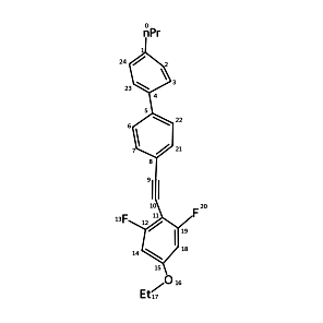 CCCc1ccc(-c2ccc(C#Cc3c(F)cc(OCC)cc3F)cc2)cc1